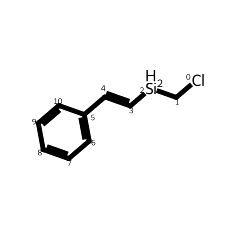 ClC[SiH2]C=Cc1ccccc1